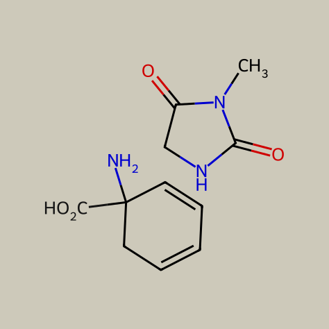 CN1C(=O)CNC1=O.NC1(C(=O)O)C=CC=CC1